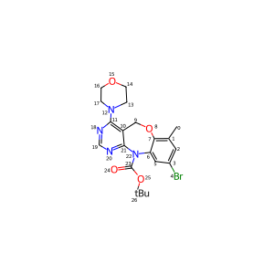 Cc1cc(Br)cc2c1OCc1c(N3CCOCC3)ncnc1N2C(=O)OC(C)(C)C